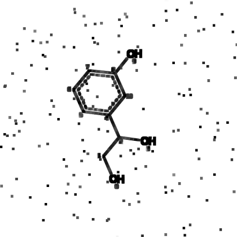 OCC(O)c1cccc(O)c1